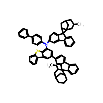 CCC1CC2CCCC(C2)C12c1ccccc1-c1ccc(-c3cc(N(c4ccc(-c5ccccc5)cc4)c4ccc5c(c4)-c4ccccc4C54C5CC6CC(C)CC54C6)c4sc5ccccc5c4c3)cc12